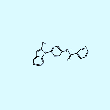 CCc1cc2ccccc2n1-c1ccc(NC(=O)c2cccnc2)cc1